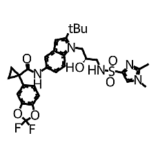 Cc1nc(S(=O)(=O)NC[C@H](O)Cn2c(C(C)(C)C)cc3cc(NC(=O)C4(c5ccc6c(c5)OC(F)(F)O6)CC4)ccc32)cn1C